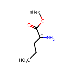 CCCCCCOC(=O)[C@@H](N)CCC(=O)O